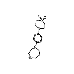 O=S1(=O)CCN(c2ccc(N3CCCNCC3)cc2)CC1